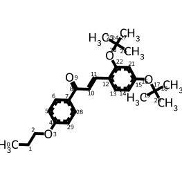 CCCOc1ccc(C(=O)C=Cc2ccc(OC(C)(C)C)cc2OC(C)(C)C)cc1